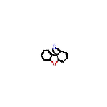 C1=CC2=CNC=CC23C(=C1)Oc1ccccc13